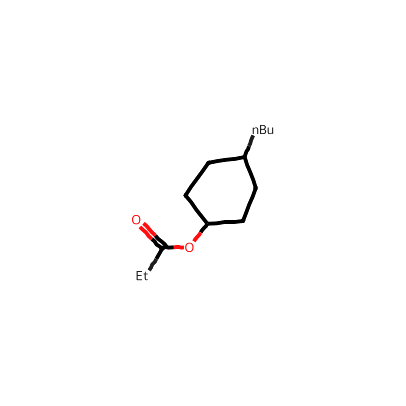 CCCCC1CCC(OC(=O)CC)CC1